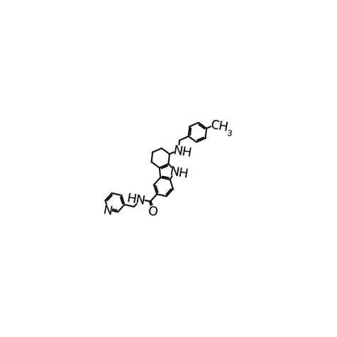 Cc1ccc(CNC2CCCc3c2[nH]c2ccc(C(=O)NCc4cccnc4)cc32)cc1